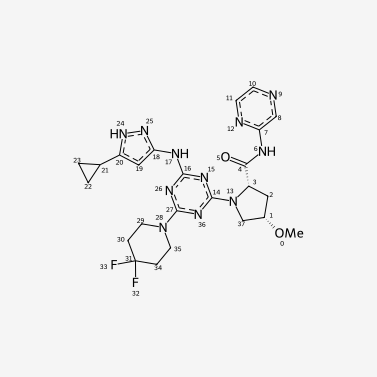 CO[C@H]1C[C@@H](C(=O)Nc2cnccn2)N(c2nc(Nc3cc(C4CC4)[nH]n3)nc(N3CCC(F)(F)CC3)n2)C1